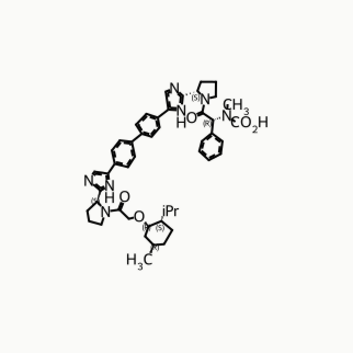 CC(C)[C@@H]1CC[C@@H](C)C[C@H]1OCC(=O)N1CCC[C@H]1c1ncc(-c2ccc(-c3ccc(-c4cnc([C@@H]5CCCN5C(=O)[C@@H](c5ccccc5)N(C)C(=O)O)[nH]4)cc3)cc2)[nH]1